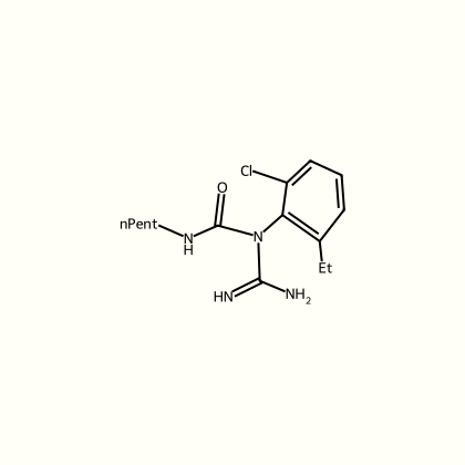 CCCCCNC(=O)N(C(=N)N)c1c(Cl)cccc1CC